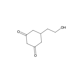 O=C1CC(=O)CC(CCO)C1